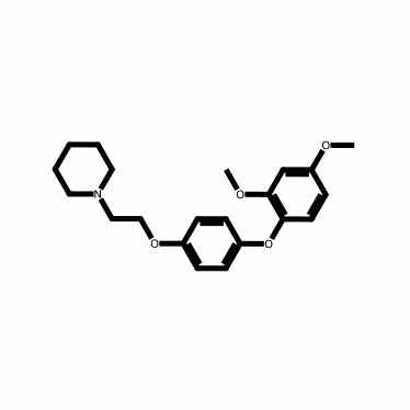 COc1c[c]c(Oc2ccc(OCCN3CCCCC3)cc2)c(OC)c1